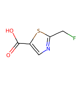 O=C(O)c1cnc(CF)s1